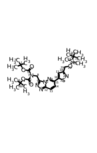 CC(C)(C)OC(=O)N(Cc1nnc2ccc(-c3cc(CO[Si](C)(C)C(C)(C)C)ns3)nn12)C(=O)OC(C)(C)C